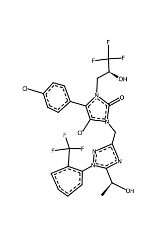 C[C@H](O)c1nc(Cn2c(Cl)c(-c3ccc(Cl)cc3)n(C[C@H](O)C(F)(F)F)c2=O)nn1-c1ccccc1C(F)(F)F